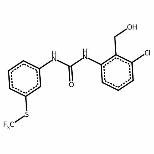 O=C(Nc1cccc(SC(F)(F)F)c1)Nc1cccc(Cl)c1CO